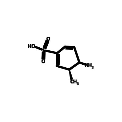 C[C@H]1C=C(S(=O)(=O)O)C=CC1N